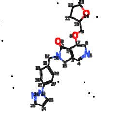 O=C1c2c(cncc2OCC2CCCO2)CN1Cc1ccc(-n2cccn2)cc1